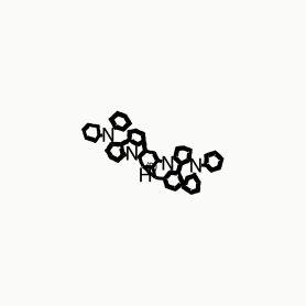 C1=CCC(N(c2ccccc2)c2cccc3c2c2cccc4c5c(n3c42)C2C3c4cccc6c7c(N(c8ccccc8)c8ccccc8)cccc7n(c46)C(=C5)[C@H]32)C=C1